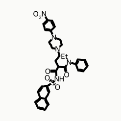 CCN(C(=O)C(CCN1CCN(c2ccc([N+](=O)[O-])cc2)CC1)C(=O)NS(=O)(=O)c1ccc2ccccc2c1)c1ccccc1